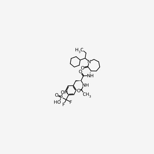 CCC(C1CCCCC1)N1CCCC[C@H](NC(=O)[C@H](Cc2ccc(C(F)(F)P(=O)(O)O)cc2)NC(C)=O)C1=O